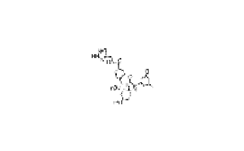 CCCC[C@H](c1ccc(C(=O)NCc2nn[nH]n2)cc1)N1C(=O)C(c2cc(C)cc(Cl)c2)=NC12CCC(C(C)(C)C)CC2